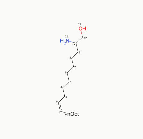 CCCCCCCC/C=C\CCCCCCCC(N)CO